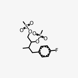 CC(Cc1ccc(F)cc1)C(COS(C)(=O)=O)OS(C)(=O)=O